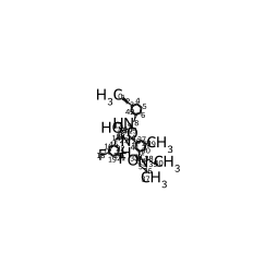 CC#Cc1cccc(CNC[C@@H](O)[C@H](Cc2cc(F)cc(F)c2)NC(=O)c2cc(C)cc(C(=O)N(CCC)CCC)c2)c1